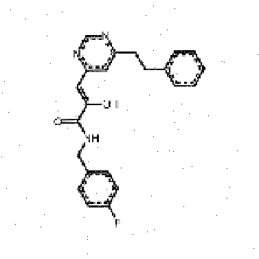 O=C(NCc1ccc(F)cc1)/C(O)=C/c1cc(CCc2ccccc2)ncn1